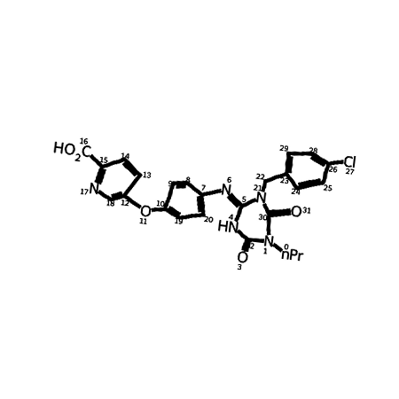 CCCn1c(=O)[nH]/c(=N\c2ccc(Oc3ccc(C(=O)O)nc3)cc2)n(Cc2ccc(Cl)cc2)c1=O